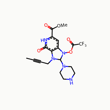 CC#CCN1c2c(cc(C(=O)OC)[nH]c2=O)N(OC(=O)C(F)(F)F)C1N1CCNCC1